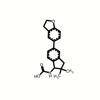 CC1(C)Cc2cc(-c3ccc4c(c3)CCO4)ccc2C1NC(=O)O